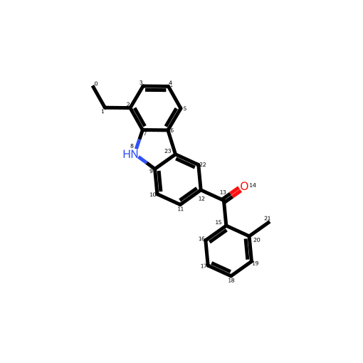 CCc1c[c]cc2c1[nH]c1ccc(C(=O)c3ccccc3C)cc12